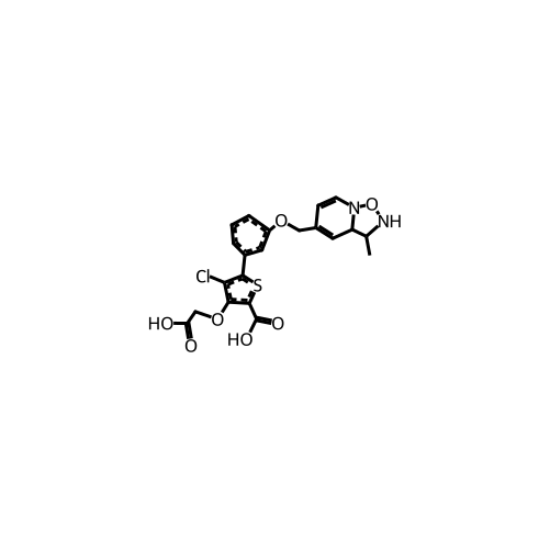 CC1NON2C=CC(COc3cccc(-c4sc(C(=O)O)c(OCC(=O)O)c4Cl)c3)=CC12